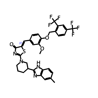 COc1cc(/C=C2\SC(N3CCCC(c4nc5cc(C)ccc5[nH]4)C3)=NC2=O)ccc1OCc1ccc(C(F)(F)F)cc1C(F)(F)F